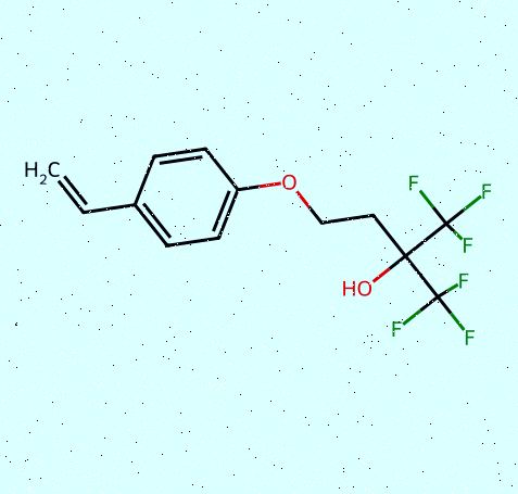 C=Cc1ccc(OCCC(O)(C(F)(F)F)C(F)(F)F)cc1